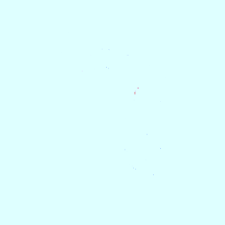 CNc1ncnc2c1ncn2[C@@H]1O[C@H](CCOP(=O)(N[C@@H](C)C(=O)OC(C)C)Oc2ccccc2)[C@@H](O)[C@@]1(C)F